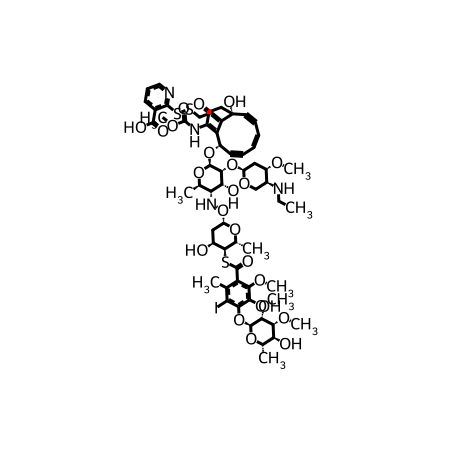 CCN[C@H]1CO[C@@H](O[C@H]2[C@H](O[C@H]3C#C/C=C\C#C[C@]4(O)CC(=O)C(NC(=O)OC)=C3/C4=C\CSSc3ncccc3C(=O)O)O[C@H](C)[C@@H](NO[C@H]3C[C@H](O)[C@H](SC(=O)c4c(C)c(I)c(O[C@@H]5O[C@@H](C)[C@H](O)[C@@H](OC)[C@H]5O)c(OC)c4OC)[C@@H](C)O3)[C@H]2O)C[C@@H]1OC